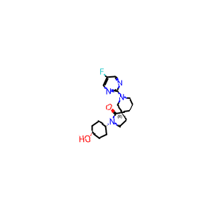 O=C1N([C@H]2CC[C@@H](O)CC2)CC[C@@]12CCCN(c1ncc(F)cn1)C2